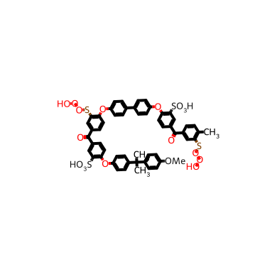 COc1ccc(C(C)(C)c2ccc(Oc3ccc(C(=O)c4ccc(Oc5ccc(-c6ccc(Oc7ccc(C(=O)c8ccc(C)c(SOOO)c8)cc7S(=O)(=O)O)cc6)cc5)c(SOOO)c4)cc3S(=O)(=O)O)cc2)cc1